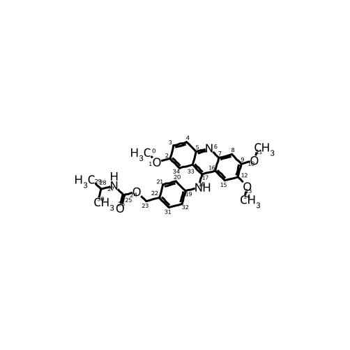 COc1ccc2nc3cc(OC)c(OC)cc3c(Nc3ccc(COC(=O)NC(C)C)cc3)c2c1